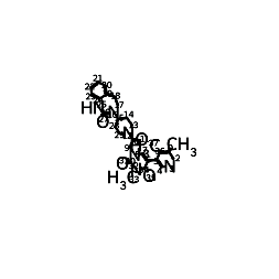 Cc1cncc(-c2cn(CC(=O)N3CCC(N4CCc5ccccc5NC4=O)CC3)c(=O)n(C)c2=O)c1C